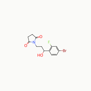 O=C1CCC(=O)N1CCC(O)c1ccc(Br)cc1F